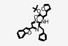 CC(C)(C)OC(=O)C(=Cc1ccco1)Nc1ncc(-c2cc3ccccc3o2)nc1Cc1ccccc1